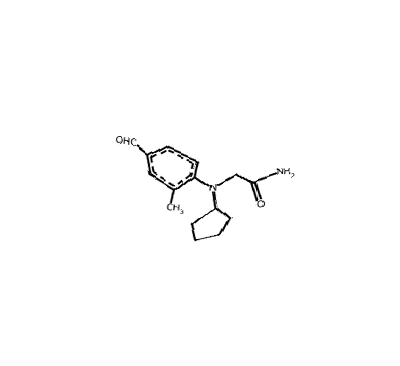 Cc1cc(C=O)ccc1N(CC(N)=O)C1CCCC1